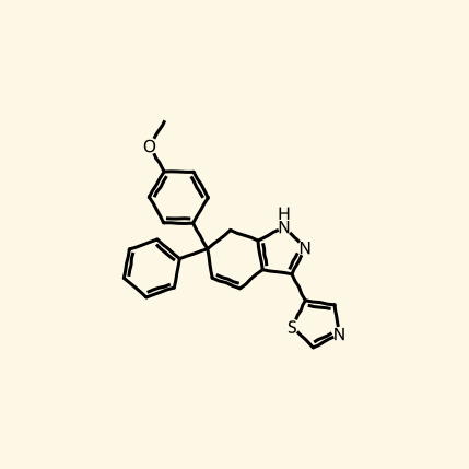 COc1ccc(C2(c3ccccc3)C=Cc3c(-c4cncs4)n[nH]c3C2)cc1